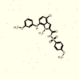 COc1ccc(S(=O)(=O)NC(=O)c2cc3c(Cl)ccc(Nc4cccc(OC)c4)c3n2C)cc1